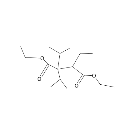 CCOC(=O)C(CC)C(C(=O)OCC)(C(C)C)C(C)C